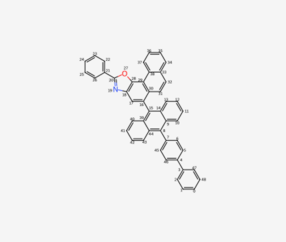 c1ccc(-c2ccc(-c3c4ccccc4c(-c4cc5nc(-c6ccccc6)oc5c5c4ccc4ccccc45)c4ccccc34)cc2)cc1